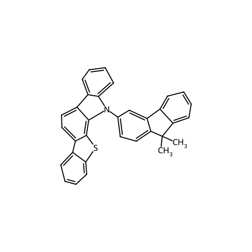 CC1(C)c2ccccc2-c2cc(-n3c4ccccc4c4ccc5c6ccccc6sc5c43)ccc21